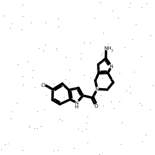 NC1=NC2=C(C1)CN(C(=O)c1cc3cc(Cl)ccc3[nH]1)CC2